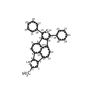 Cc1cc2c(s1)-c1ccc3c4c(ccc-2c14)-c1c(-c2ccccc2)sc(-c2ccccc2)c1-3